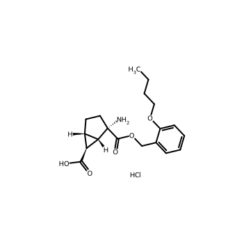 CCCCOc1ccccc1COC(=O)[C@]1(N)CC[C@H]2[C@H](C(=O)O)[C@H]21.Cl